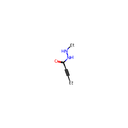 CCC#CC(=O)NNCC